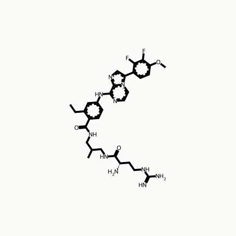 CCc1cc(Nc2nccn3c(-c4ccc(OC)c(F)c4F)cnc23)ccc1C(=O)NCC(C)CNC(=O)[C@@H](N)CCNC(=N)N